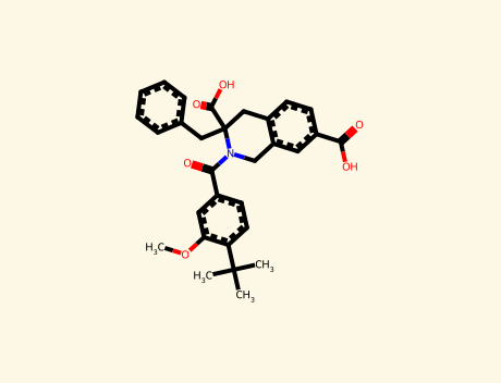 COc1cc(C(=O)N2Cc3cc(C(=O)O)ccc3CC2(Cc2ccccc2)C(=O)O)ccc1C(C)(C)C